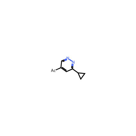 CC(=O)c1cnnc(C2CC2)c1